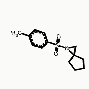 Cc1ccc(S(=O)(=O)N2CC23CCCC3)cc1